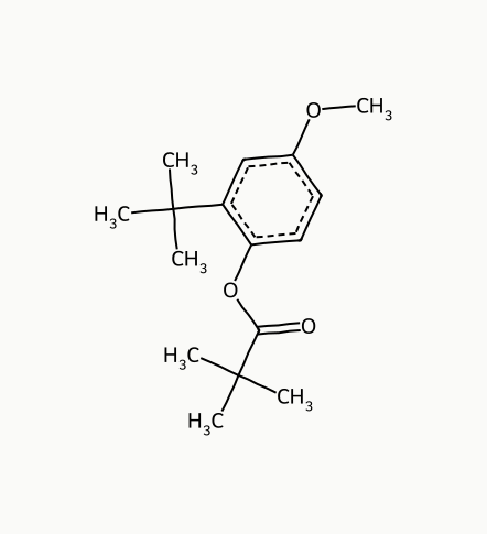 COc1ccc(OC(=O)C(C)(C)C)c(C(C)(C)C)c1